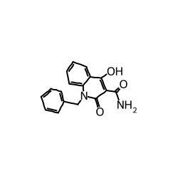 NC(=O)c1c(O)c2ccccc2n(Cc2ccccc2)c1=O